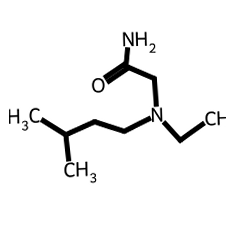 CCN(CCC(C)C)CC(N)=O